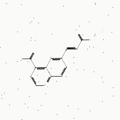 COC(=O)C=Cc1ccc2nccc(C(=O)O)c2c1